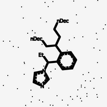 CCCCCCCCCCCCC(CCCCCCCCCCC)c1ccccc1C(CC)n1ccnc1